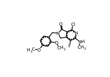 CNc1nc(Cl)c2c(c1F)CN(Cc1ccc(OC)cc1OC)C2=O